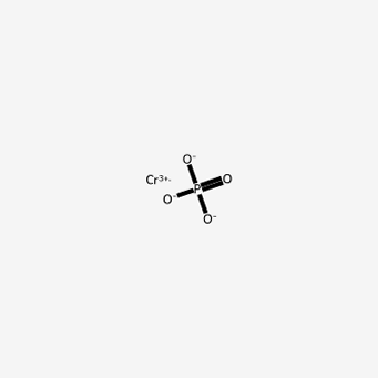 O=P([O-])([O-])[O-].[Cr+3]